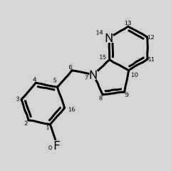 Fc1cccc(Cn2ccc3cccnc32)c1